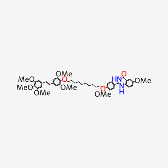 COc1ccc2c(c1)C(=O)NC(c1ccc(OCCCCCCCCCCOc3c(OC)cc(C=Cc4cc(OC)c(OC)c(OC)c4)cc3OC)c(OC)c1)N2